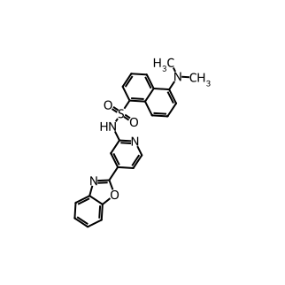 CN(C)c1cccc2c(S(=O)(=O)Nc3cc(-c4nc5ccccc5o4)ccn3)cccc12